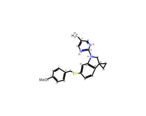 COc1ccc(CSc2ccc3c(c2)N(c2ncc(C)cn2)CC32CC2)cc1